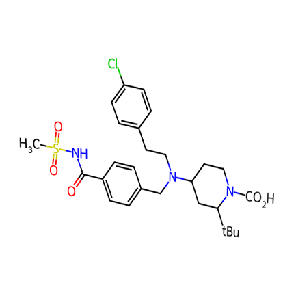 CC(C)(C)C1CC(N(CCc2ccc(Cl)cc2)Cc2ccc(C(=O)NS(C)(=O)=O)cc2)CCN1C(=O)O